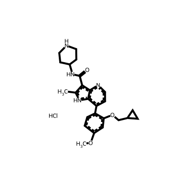 COc1ccc(-c2ccnc3c(C(=O)NC4CCNCC4)c(C)[nH]c23)c(OCC2CC2)c1.Cl